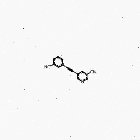 N#Cc1cccc(C#Cc2cncc(C#N)c2)c1